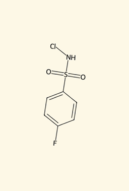 O=S(=O)(NCl)c1ccc(F)cc1